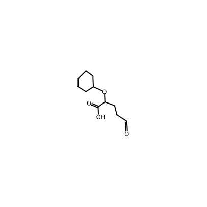 O=CCCC(OC1CCCCC1)C(=O)O